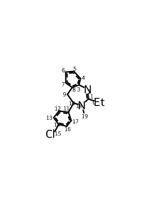 CCC1=Nc2ccccc2CC(c2ccc(Cl)cc2)N1C